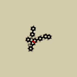 c1ccc(-c2ccc(N(c3cccc(-c4ccc(-c5ccc6ccccc6c5)cc4)c3)c3ccccc3-c3cccc4c3oc3ccccc34)cc2)cc1